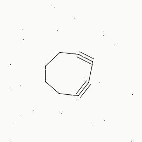 C1#CCCCCC#C1